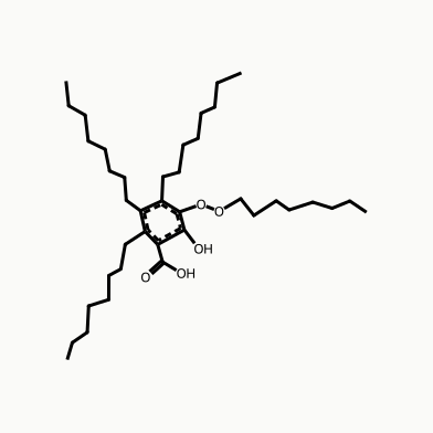 CCCCCCCCOOc1c(O)c(C(=O)O)c(CCCCCCCC)c(CCCCCCCC)c1CCCCCCCC